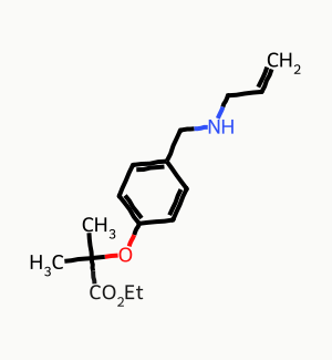 C=CCNCc1ccc(OC(C)(C)C(=O)OCC)cc1